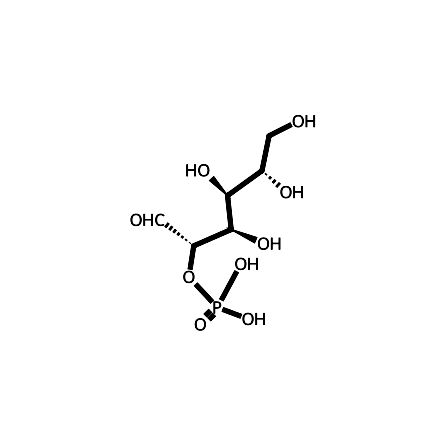 O=C[C@@H](OP(=O)(O)O)[C@H](O)[C@@H](O)[C@@H](O)CO